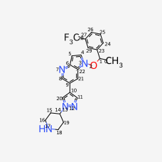 CC(On1ccc2ncc(-c3cnn(C4CCNCC4)c3)cc21)c1cccc(C(F)(F)F)c1